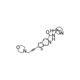 O=C(N[C@H]1CN2CCC1CC2)c1cc2cc(C#CCN3CCOCC3)sc2cn1